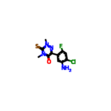 Cn1nc(-c2cc(N)c(Cl)cc2F)c(=O)n(C)c1=S